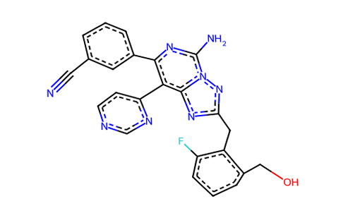 N#Cc1cccc(-c2nc(N)n3nc(Cc4c(F)cccc4CO)nc3c2-c2ccncn2)c1